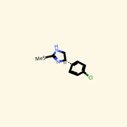 CSC1=N[C@@H](c2ccc(Cl)cc2)CN1